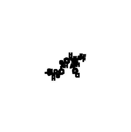 Cc1cc(NC(=O)C(=O)N2CCCC(CNC(=O)c3ccc(Nc4nc(NC5(c6ccc(Cl)cc6)CC5)nc(OCC(F)(F)F)n4)cc3)C2)no1